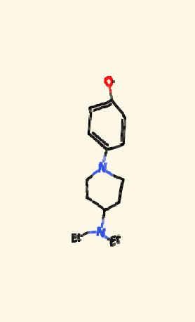 CCN(CC)C1CCN(c2ccc([O])cc2)CC1